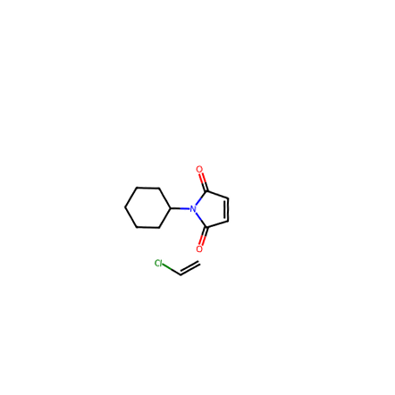 C=CCl.O=C1C=CC(=O)N1C1CCCCC1